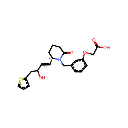 O=C(O)COc1cccc(CN2C(=O)CCC[C@@H]2/C=C/C(O)Cc2cccs2)c1